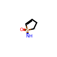 N=S1(=O)[CH]CC=C1